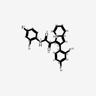 O=C(Nc1ccc(F)cc1F)C(=O)c1c(-c2ccc(F)cc2F)cc2ccccn12